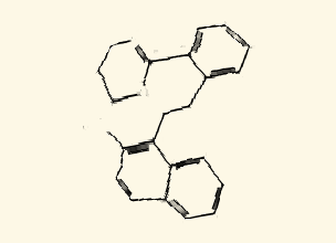 COc1ccc2ccccc2c1CCc1ccccc1C1=NCCCN1